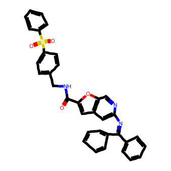 O=C(NCc1ccc(S(=O)(=O)c2ccccc2)cc1)c1cc2cc(N=C(c3ccccc3)c3ccccc3)ncc2o1